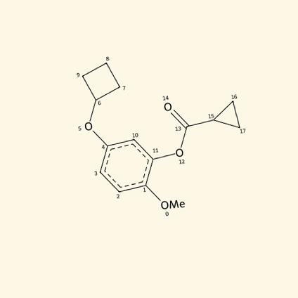 COc1ccc(OC2CCC2)cc1OC(=O)C1CC1